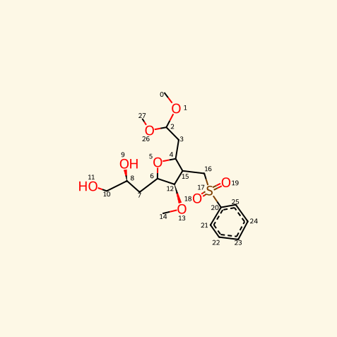 COC(CC1OC(C[C@H](O)CO)[C@H](OC)C1CS(=O)(=O)c1ccccc1)OC